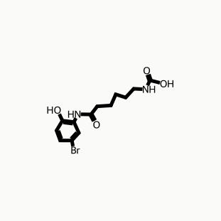 O=C(O)NCCCCCC(=O)Nc1cc(Br)ccc1O